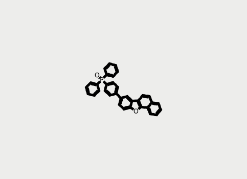 O=P(c1ccccc1)(c1ccccc1)c1ccc(-c2ccc3oc4c5ccccc5ccc4c3c2)cc1